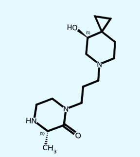 C[C@@H]1NCCN(CCCN2CCC3(CC3)[C@H](O)C2)C1=O